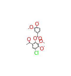 COc1ccc(C(=O)Oc2c(C(C)=O)cc(Cl)c(OC)c2OC)cc1OC